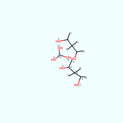 CC(O)C(C)(C)C(C)O.CC(O)C(C)(C)C(C)O.OB(O)O